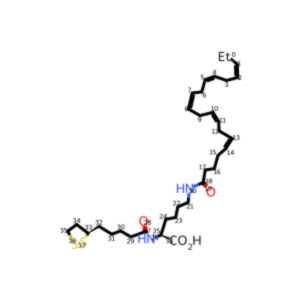 CC/C=C\C/C=C\C/C=C\C/C=C\C/C=C\CCCC(=O)NCCCC[C@H](NC(=O)CCCC[C@@H]1CCSS1)C(=O)O